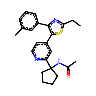 CCc1nc(-c2cccc(C)c2)c(-c2ccnc(C3(NC(C)=O)CCCC3)c2)s1